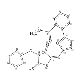 COC(=O)c1ccccc1-c1ccc(C=C2SC(=S)N(Cc3ccccc3)C2=O)o1